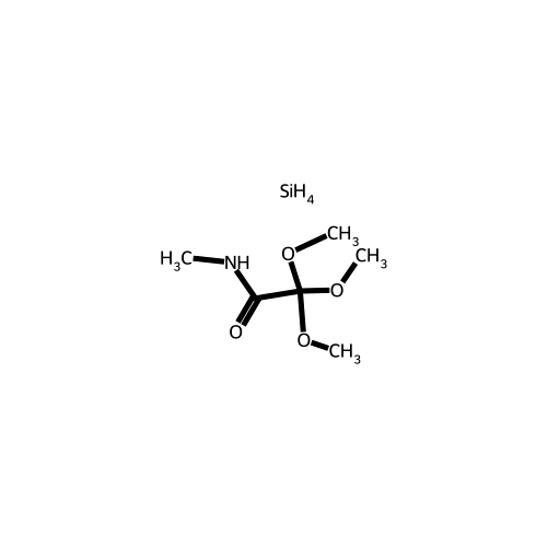 CNC(=O)C(OC)(OC)OC.[SiH4]